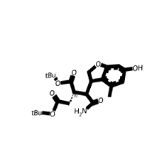 Cc1cc(O)cc2c1C(C(C(N)=O)[C@H](CC(=O)OC(C)(C)C)C(=O)OC(C)(C)C)CO2